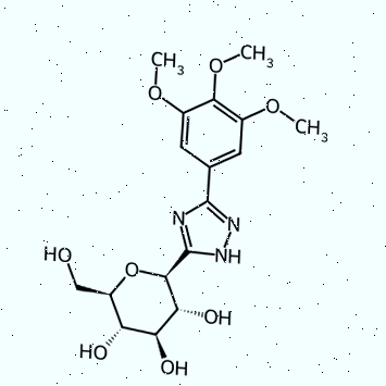 COc1cc(-c2n[nH]c([C@@H]3O[C@H](CO)[C@@H](O)[C@H](O)[C@H]3O)n2)cc(OC)c1OC